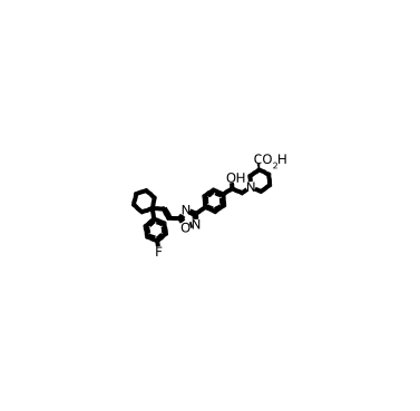 O=C(O)[C@H]1CCCN(CC(O)c2ccc(-c3noc(C=CC4(c5ccc(F)cc5)CCCCC4)n3)cc2)C1